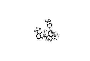 Cc1c([C@@H](C)Nc2nn(C)c(=O)c(N)c2/C=C(\N)C2CCS(=O)(=O)CC2)cccc1C(F)(F)F